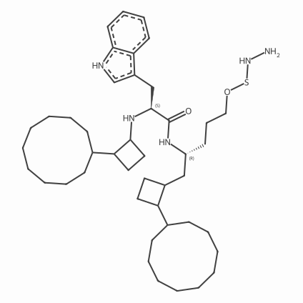 NNSOCCC[C@H](CC1CCC1C1CCCCCCCCC1)NC(=O)[C@H](Cc1c[nH]c2ccccc12)NC1CCC1C1CCCCCCCCC1